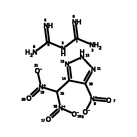 N=C(N)NC(=N)N.O=[N+]([O-])c1n[nH]nc1C([N+](=O)[O-])[N+](=O)[O-]